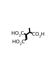 CC(C(=O)O)C(=CC(=O)O)C(=O)O